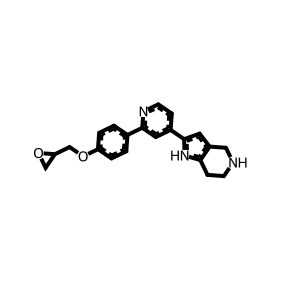 c1cc(-c2cc3c([nH]2)CCNC3)cc(-c2ccc(OCC3CO3)cc2)n1